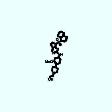 COc1cc(Nc2ncc3ccn(S(=O)(=O)c4cccc5cccnc45)c3n2)ccc1N1CCN(CCO)CC1